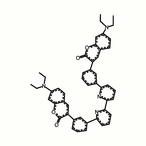 CCN(CC)c1ccc2cc(-c3cccc(-c4cccc(-c5cccc(-c6cccc(-c7cc8ccc(N(CC)CC)cc8oc7=O)c6)n5)n4)c3)c(=O)oc2c1